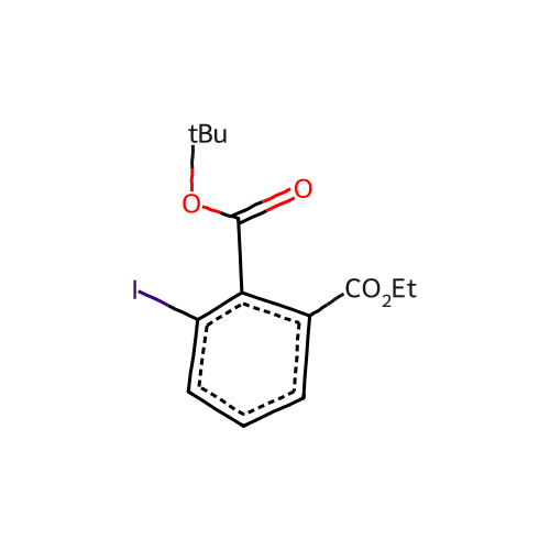 CCOC(=O)c1cccc(I)c1C(=O)OC(C)(C)C